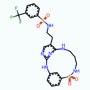 O=S1(=O)NCCCNc2nc(ncc2CCNS(=O)(=O)c2cccc(C(F)(F)F)c2)Nc2cccc1c2